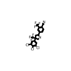 N#Cc1ccc(C2=NCC(c3cc(Cl)c(Cl)c(Cl)c3)(C(F)(F)F)C2)cc1C(F)(F)F